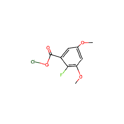 COc1cc(OC)c(F)c(C(=O)OCl)c1